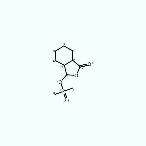 CP(C)(=O)OC1OC(=O)C2CCCCC12